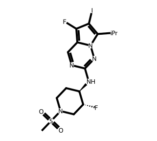 CC(C)c1c(I)c(F)c2cnc(N[C@@H]3CCN(S(C)(=O)=O)C[C@H]3F)nn12